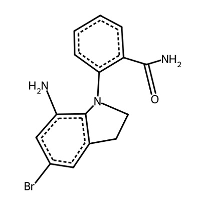 NC(=O)c1ccccc1N1CCc2cc(Br)cc(N)c21